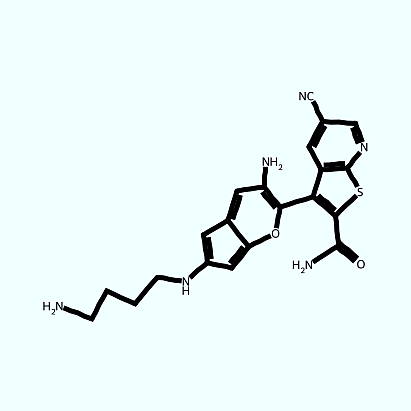 N#Cc1cnc2sc(C(N)=O)c(-c3oc4cc(NCCCCN)cc-4cc3N)c2c1